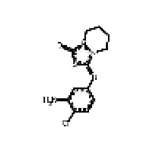 Nc1cc(N=c2sc(=O)n3n2CCCC3)ccc1Cl